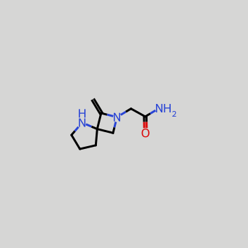 C=C1N(CC(N)=O)CC12CCCN2